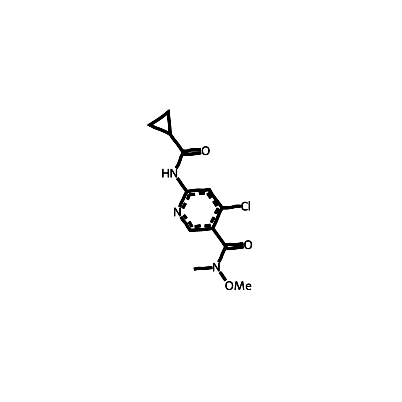 CON(C)C(=O)c1cnc(NC(=O)C2CC2)cc1Cl